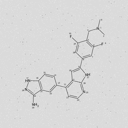 CN(C)Cc1c(F)cc(-c2cc3c(-c4ccc5[nH]nc(N)c5c4)ccnc3[nH]2)cc1F